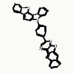 c1ccc2cc3c(cc2c1)oc1nc(-c2ccc(-n4c5ccccc5c5c6sc7ccccc7c6ccc54)cc2)cnc13